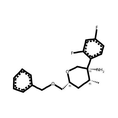 C[C@@H]1C[C@H](COCc2ccccc2)OC[C@@]1(N)c1ccc(F)cc1F